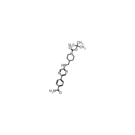 CC(C)(C)OC(=O)N1CCC(CNc2cnc(-c3ccc(C(N)=O)cc3)cn2)CC1